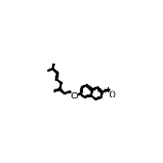 CC(C)CCCC(C)CCOc1ccc2cc([C]=O)ccc2c1